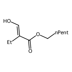 CCCCCCOC(=O)C(=CO)CC